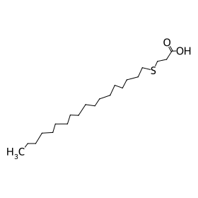 CCCCCCCCCCCCCCCCCCSCCC(=O)O